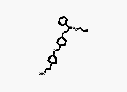 C=CCO/N=C(\COc1ccc(COc2ccc(CCC=O)cc2)cc1)c1ccccc1